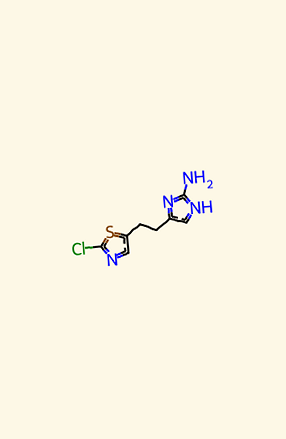 Nc1nc(CCc2cnc(Cl)s2)c[nH]1